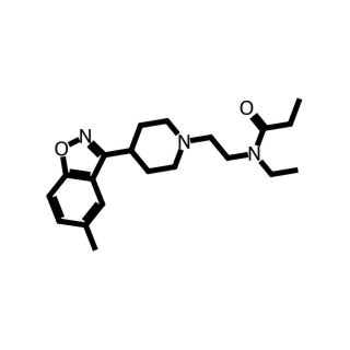 CCC(=O)N(CC)CCN1CCC(c2noc3ccc(C)cc23)CC1